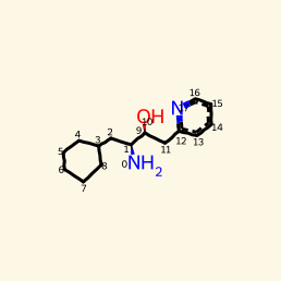 N[C@@H](CC1CCCCC1)[C@@H](O)Cc1ccccn1